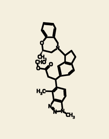 Cc1c(C(CC(=O)OC=O)c2ccc3c(c2)C(N2Cc4ccccc4O[C@@H](C)C2)CC3)ccc2c1nnn2C